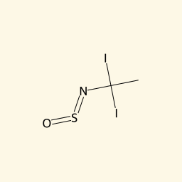 CC(I)(I)N=S=O